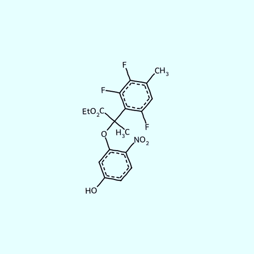 CCOC(=O)C(C)(Oc1cc(O)ccc1[N+](=O)[O-])c1c(F)cc(C)c(F)c1F